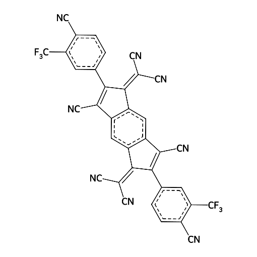 N#CC(C#N)=C1C(c2ccc(C#N)c(C(F)(F)F)c2)=C(C#N)c2cc3c(cc21)C(C#N)=C(c1ccc(C#N)c(C(F)(F)F)c1)C3=C(C#N)C#N